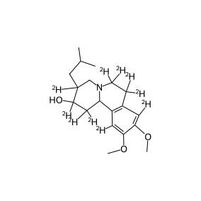 [2H]c1c(OC)c(OC)c([2H])c2c1C1N(CC([2H])(CC(C)C)C([2H])(O)C1([2H])[2H])C([2H])([2H])C2([2H])[2H]